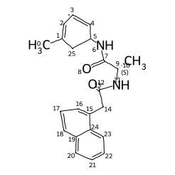 CC1=C[C]=CC(NC(=O)[C@H](C)NC(=O)Cc2cccc3ccccc23)C1